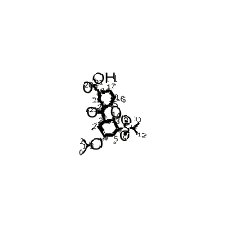 CC(C)Oc1cc(S(=O)(=O)C(C)C)c2oc3ccc(C(=O)O)cc3c(=O)c2c1